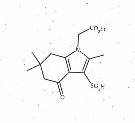 CCOC(=O)Cn1c(C)c(S(=O)(=O)O)c2c1CC(C)(C)CC2=O